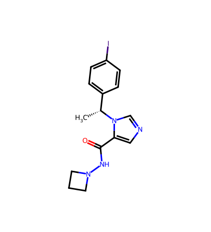 C[C@H](c1ccc(I)cc1)n1cncc1C(=O)NN1CCC1